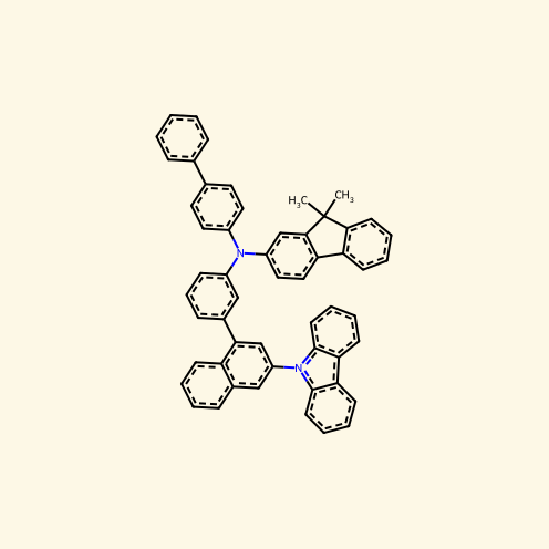 CC1(C)c2ccccc2-c2ccc(N(c3ccc(-c4ccccc4)cc3)c3cccc(-c4cc(-n5c6ccccc6c6ccccc65)cc5ccccc45)c3)cc21